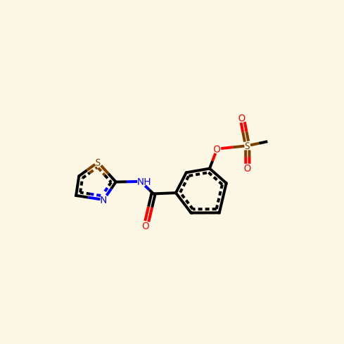 CS(=O)(=O)Oc1cccc(C(=O)Nc2nccs2)c1